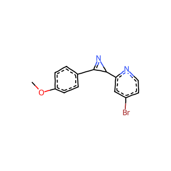 COc1ccc(C2=NC2c2cc(Br)ccn2)cc1